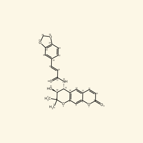 CC1(C)Oc2cc3oc(=O)ccc3cc2[C@@H](NC(=O)/C=C/c2ccc3c(c2)OCO3)[C@@H]1O